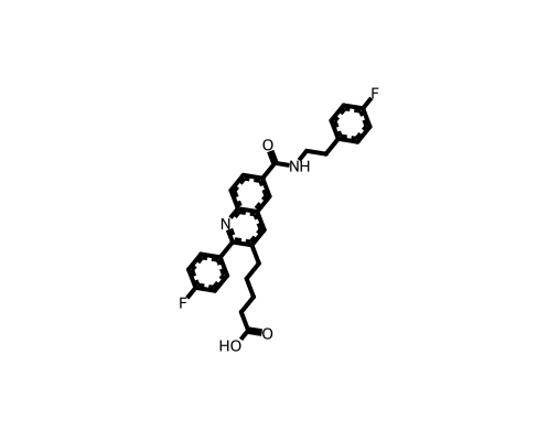 O=C(O)CCCCc1cc2cc(C(=O)NCCc3ccc(F)cc3)ccc2nc1-c1ccc(F)cc1